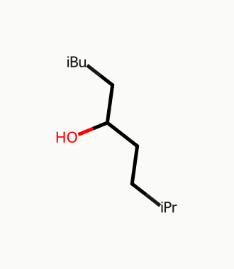 CCC(C)CC(O)CCC(C)C